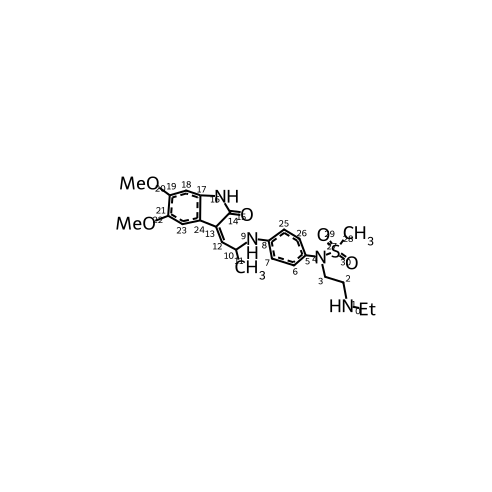 CCNCCN(c1ccc(NC(C)C=C2C(=O)Nc3cc(OC)c(OC)cc32)cc1)S(C)(=O)=O